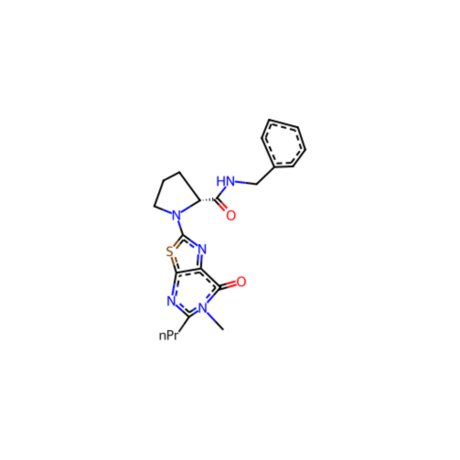 CCCc1nc2sc(N3CCC[C@@H]3C(=O)NCc3ccccc3)nc2c(=O)n1C